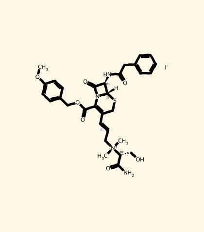 COc1ccc(COC(=O)C2=C(/C=C/C[N+](C)(C)[C@H](CO)C(N)=O)CS[C@H]3[C@H](NC(=O)Cc4ccccc4)C(=O)N23)cc1.[I-]